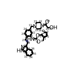 Cc1ccsc1OC(=O)Nc1cc(CN2CCN(C(=O)CO)CC2)ccc1/C=C/c1n[nH]c2ccccc12